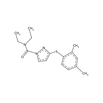 CCN(CC)C(=O)n1ccc(Sc2ccc(C)cc2C)n1